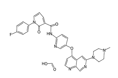 CN1CCN(c2cc3c(Oc4ccc(NC(=O)c5cccn(-c6ccc(F)cc6)c5=O)nc4)ccnc3cn2)CC1.O=CO